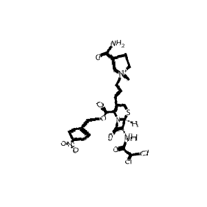 C[N+]1(C/C=C/C2=C(C(=O)OCc3ccc([N+](=O)[O-])cc3)N3C(=O)[C@@H](NC(=O)C(Cl)Cl)[C@@H]3SC2)CCC(C(N)=O)C1